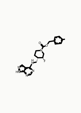 Cc1ccc(COC(=O)N2CC[C@@H](CNc3ncnc4[nH]ncc34)[C@@H](F)C2)cc1